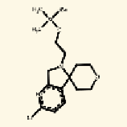 CC(C)(C)[Si](C)(C)OCCN1Cc2nc(Cl)ccc2C12CCOCC2